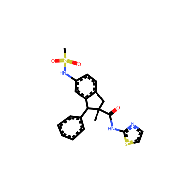 CC1(C(=O)Nc2nccs2)Cc2ccc(NS(C)(=O)=O)cc2C1c1ccccc1